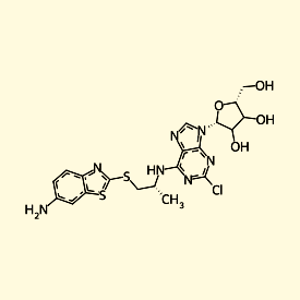 C[C@H](CSc1nc2ccc(N)cc2s1)Nc1nc(Cl)nc2c1ncn2[C@@H]1O[C@H](CO)C(O)C1O